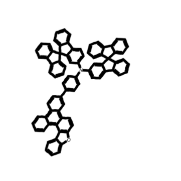 c1ccc2c(c1)-c1ccccc1C21c2ccccc2-c2ccc(N(c3ccc(-c4ccc5c6ccccc6c6c(ccc7oc8ccccc8c76)c5c4)cc3)c3ccc4c(c3)C3(c5ccccc5-c5ccccc53)c3ccccc3-4)cc21